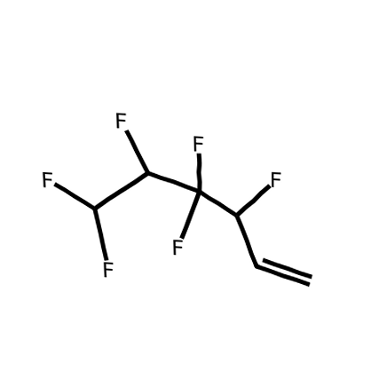 C=CC(F)C(F)(F)C(F)C(F)F